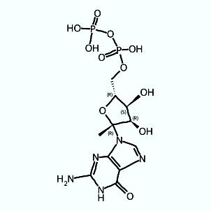 C[C@@]1(n2cnc3c(=O)[nH]c(N)nc32)O[C@H](COP(=O)(O)OP(=O)(O)O)[C@@H](O)[C@H]1O